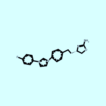 NC1=N[C@@H](CCc2ccc(-[n+]3ccn(-c4ccc(F)cc4)c3)cc2)CO1